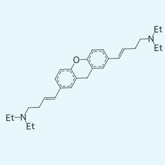 CCN(CC)CC/C=C/c1ccc2c(c1)Cc1cc(/C=C/CCN(CC)CC)ccc1O2